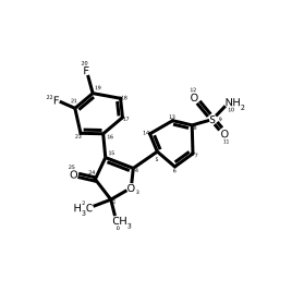 CC1(C)OC(c2ccc(S(N)(=O)=O)cc2)=C(c2ccc(F)c(F)c2)C1=O